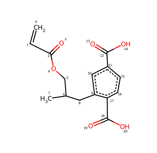 C=CC(=O)OCC(C)Cc1cc(C(=O)O)ccc1C(=O)O